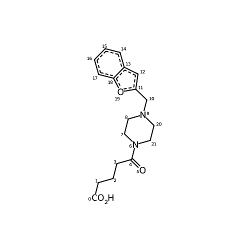 O=C(O)CCCC(=O)N1CCN(Cc2cc3ccccc3o2)CC1